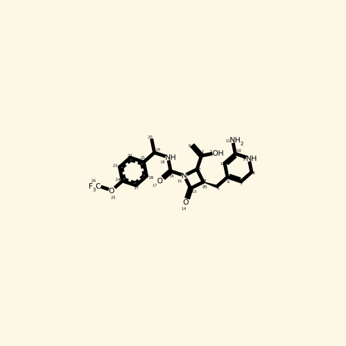 C=C(O)C1[C@@H](CC2=CCNC(N)=C2)C(=O)N1C(=O)NC(C)c1ccc(OC(F)(F)F)cc1